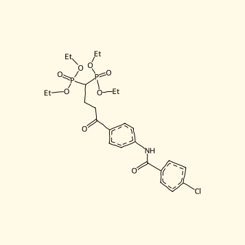 CCOP(=O)(OCC)C(CCC(=O)c1ccc(NC(=O)c2ccc(Cl)cc2)cc1)P(=O)(OCC)OCC